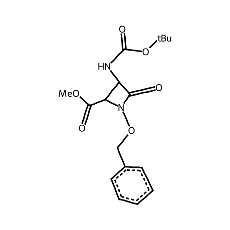 COC(=O)C1C(NC(=O)OC(C)(C)C)C(=O)N1OCc1ccccc1